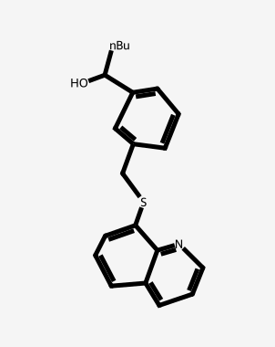 CCCCC(O)c1cccc(CSc2cccc3cccnc23)c1